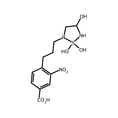 O=C(O)c1ccc(CCCN2CC(O)NS2(O)O)c([N+](=O)[O-])c1